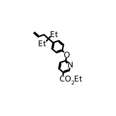 C=CCC(CC)(CC)c1ccc(Oc2ccc(C(=O)OCC)cn2)cc1